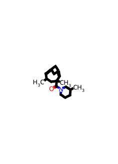 CC1C=C2CC(=CC(C)(C(=O)N3CCCC(C)C3)C1)C2